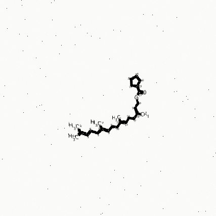 CC(C)=CCC/C(C)=C/CC/C(C)=C/CC/C(C)=C/COC(=O)C1CCCC1